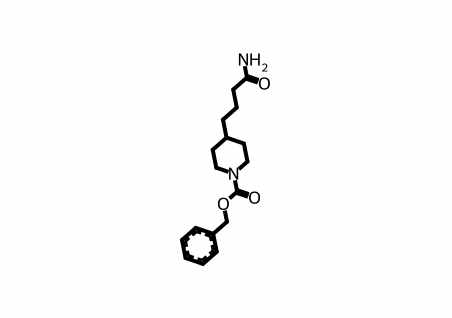 NC(=O)CCCC1CCN(C(=O)OCc2ccccc2)CC1